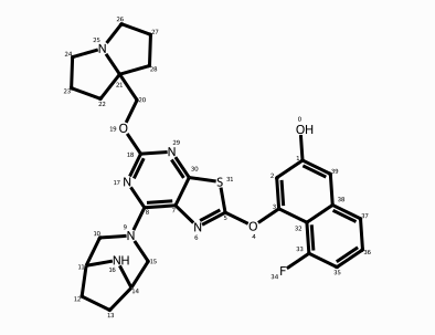 Oc1cc(Oc2nc3c(N4CC5CCC(C4)N5)nc(OCC45CCCN4CCC5)nc3s2)c2c(F)cccc2c1